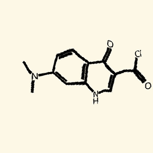 CN(C)c1ccc2c(=O)c(C(=O)Cl)c[nH]c2c1